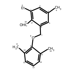 CCc1cc(C)cc(COc2c(C)cccc2C)c1C=O